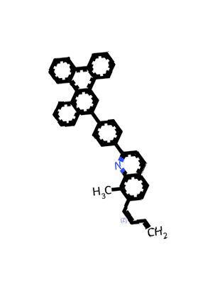 C=C/C=C\c1ccc2ccc(-c3ccc(-c4cc5c6ccccc6c6ccccc6c5c5ccccc45)cc3)nc2c1C